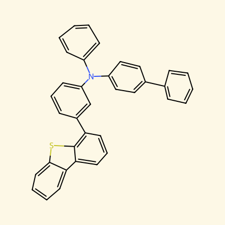 c1ccc(-c2ccc(N(c3ccccc3)c3cccc(-c4cccc5c4sc4ccccc45)c3)cc2)cc1